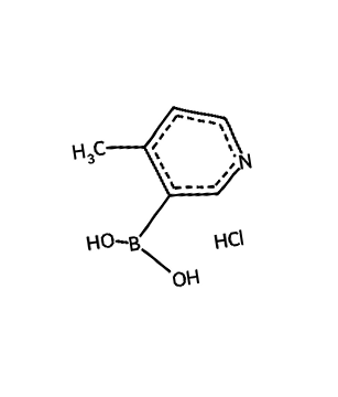 Cc1ccncc1B(O)O.Cl